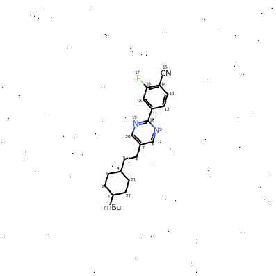 CCCCC1CCC(CCc2cnc(-c3ccc(C#N)c(F)c3)nc2)CC1